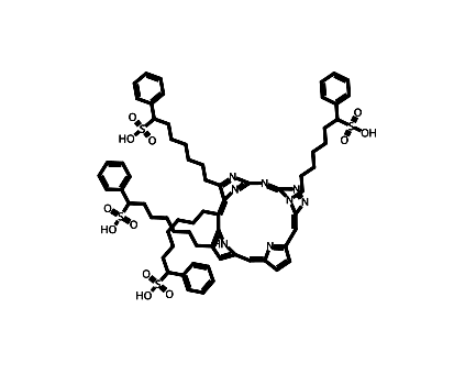 O=S(=O)(O)C(CCCCCCC1=Nc2nc1c(CCCCCCC(c1ccccc1)S(=O)(=O)O)c1[nH]c(cc3nc(cc4nnc(n2)n4CCCCCCC(c2ccccc2)S(=O)(=O)O)C=C3)cc1CCCCCCC(c1ccccc1)S(=O)(=O)O)c1ccccc1